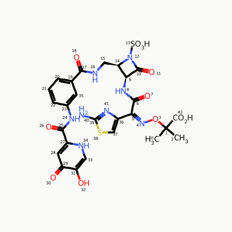 CC(C)(O/N=C(\C(=O)N[C@@H]1C(=O)N(S(=O)(=O)O)[C@@H]1CNC(=O)c1cccc(NC(=O)c2cc(=O)c(O)c[nH]2)c1)c1csc(N)n1)C(=O)O